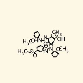 CCOC(=O)c1ccc2oc(Nc3ccccc3OC)nc2c1.CCc1c(C(=O)O)ccc2oc(Nc3ccccc3OC)nc12